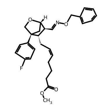 COC(=O)CCC/C=C\C[C@H]1[C@H](C=NOCc2ccccc2)[C@@H]2C[C@@]1(c1ccc(F)cc1)CO2